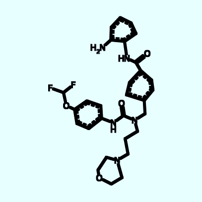 Nc1ccccc1NC(=O)c1ccc(CN(CCCN2CCOCC2)C(=O)Nc2ccc(OC(F)F)cc2)cc1